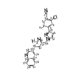 CC1CC(C#N)=C(Cl)C=C1c1ccn(C[C@H](N)CCc2cnc3ccccc3c2)n1